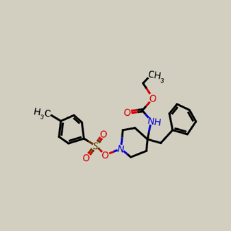 CCOC(=O)NC1(Cc2ccccc2)CCN(OS(=O)(=O)c2ccc(C)cc2)CC1